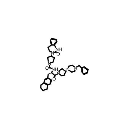 O=C(N[C@H](Cc1ccc2c(c1)CCCC2)C(=O)N1CCC(N2CCN(Cc3ccccc3)CC2)CC1)N1CCC(N2CCc3ccccc3NC2=O)CC1